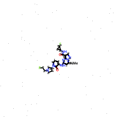 CNc1cc(Nc2cccn([C@H]3CCN(CCF)C3)c2=O)nc2c(C(=O)N[C@@H]3C[C@@H]3F)cnn12